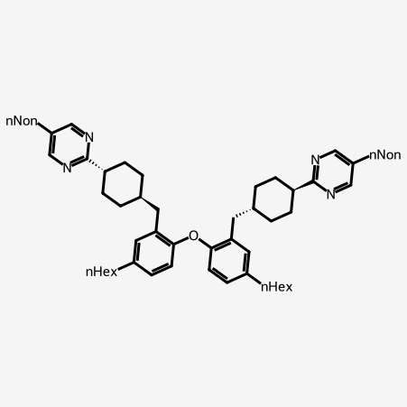 CCCCCCCCCc1cnc([C@H]2CC[C@H](Cc3cc(CCCCCC)ccc3Oc3ccc(CCCCCC)cc3C[C@H]3CC[C@H](c4ncc(CCCCCCCCC)cn4)CC3)CC2)nc1